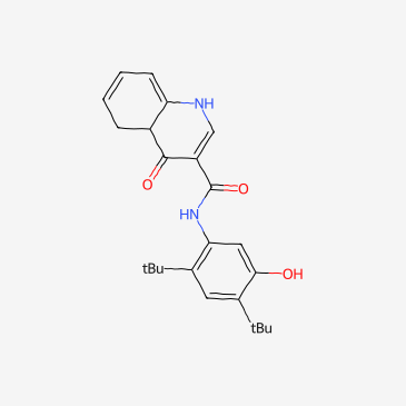 CC(C)(C)c1cc(C(C)(C)C)c(NC(=O)C2=CNC3=CC=CCC3C2=O)cc1O